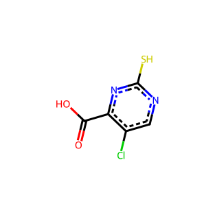 O=C(O)c1nc(S)ncc1Cl